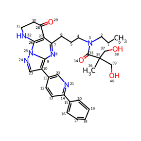 CCCN(CCCc1nc2c(-c3ccc(-c4ccccc4)nc3)cnn2c2c1C(=O)CCN2)C(=O)C(C)(CO)CO